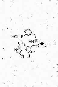 Cl.Cn1ncc(Cl)c1-c1cc(C(=O)N[C@H](CN)Cc2cccc(F)c2)sc1Cl